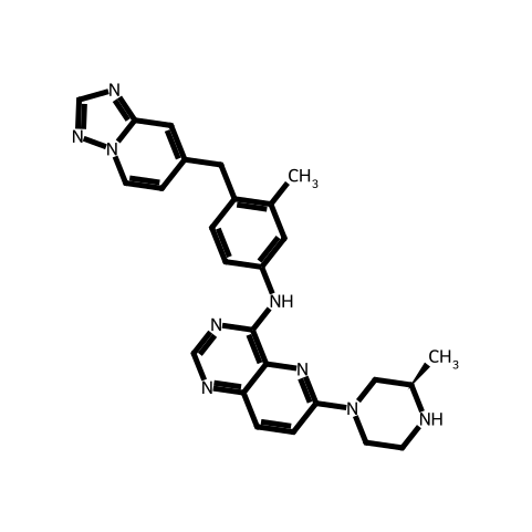 Cc1cc(Nc2ncnc3ccc(N4CCN[C@H](C)C4)nc23)ccc1Cc1ccn2ncnc2c1